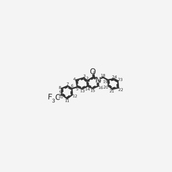 O=c1c2ccc(-c3ccc(C(F)(F)F)cc3)cc2ccn1Cc1ccccc1